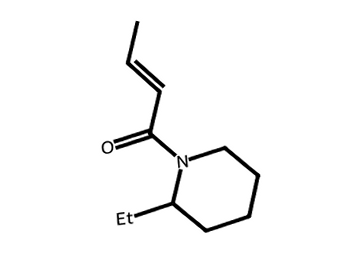 CC=CC(=O)N1CCCCC1CC